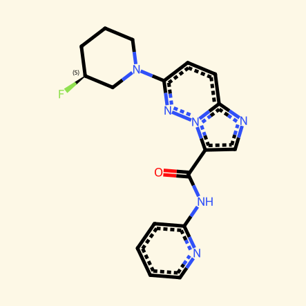 O=C(Nc1ccccn1)c1cnc2ccc(N3CCC[C@H](F)C3)nn12